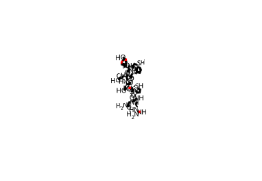 N=C(N)NCCC[C@@H](NC(=O)[C@H]1CCCN1C(=O)[C@@H](CS)NC(=O)[C@@H](CC(=O)O)NC(=O)[C@@H](CCC(=O)O)NC(=O)[C@@H](Cc1ccccc1)NC(=O)[C@@H](Cc1ccc(O)cc1)NC(=O)CCS)C(=O)NCC(N)=O